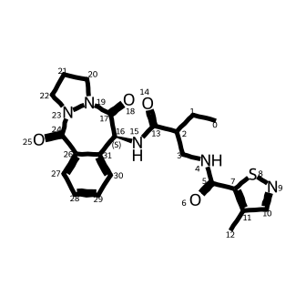 CCC(CNC(=O)c1sncc1C)C(=O)N[C@@H]1C(=O)N2CCCN2C(=O)c2ccccc21